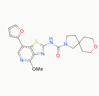 COc1ncc(-c2ccco2)c2sc(NC(=O)N3CCC4(CCOCC4)C3)nc12